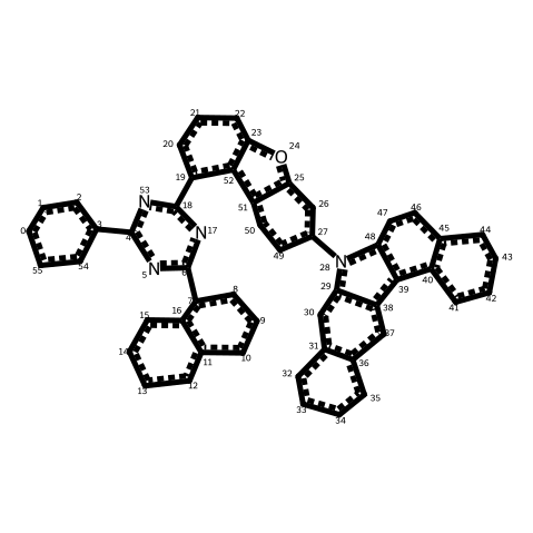 c1ccc(-c2nc(-c3cccc4ccccc34)nc(-c3cccc4oc5cc(-n6c7cc8ccccc8cc7c7c8ccccc8ccc76)ccc5c34)n2)cc1